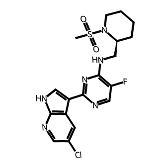 CS(=O)(=O)N1CCCC[C@H]1CNc1nc(-c2c[nH]c3ncc(Cl)cc23)ncc1F